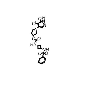 O=C(N[C@H]1C[C@H](NS(=O)(=O)c2ccccc2)C1)O[C@@H]1CCN(c2cn[nH]c(=O)c2Cl)C1